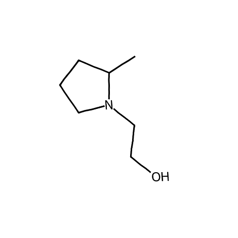 CC1CCCN1CCO